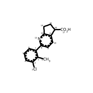 Cc1c(Cl)cccc1-c1ccc2c(n1)CCC2C(=O)O